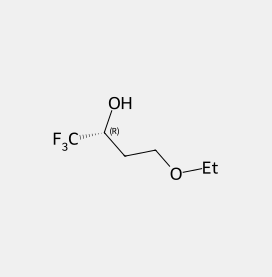 CCOCC[C@@H](O)C(F)(F)F